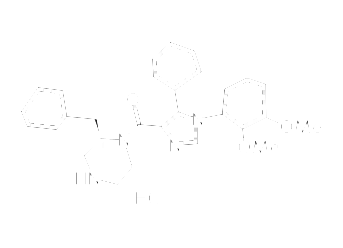 COc1cccc(-n2cnc(C(=O)N3CCNC[C@H]3Cc3ccccc3)c2-c2ccccc2)c1OC.Cl